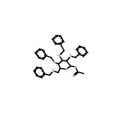 CC(=O)OC1OC(COCc2ccccc2)C(OCc2ccccc2)C(OCc2ccccc2)C1OCc1ccccc1